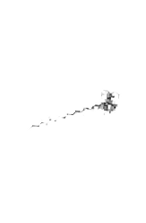 CCCCCCCCCCC=CCCCCCCC(CC)(P(=O)=O)[N+](C)(C)C